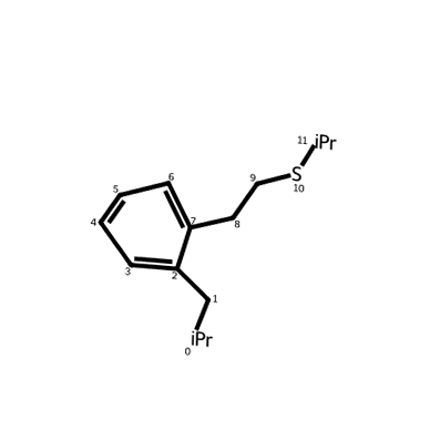 CC(C)Cc1ccccc1CCSC(C)C